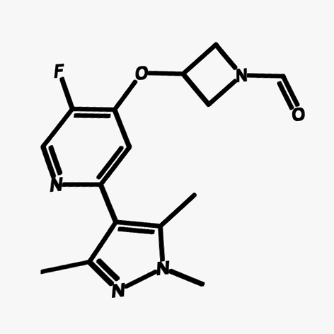 Cc1nn(C)c(C)c1-c1cc(OC2CN(C=O)C2)c(F)cn1